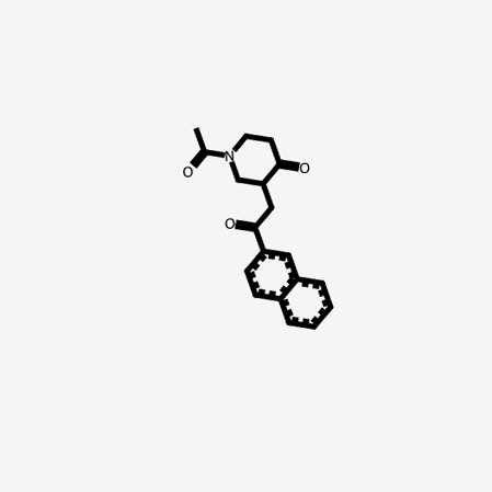 CC(=O)N1CCC(=O)C(CC(=O)c2ccc3ccccc3c2)C1